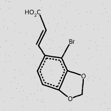 O=C(O)C=Cc1ccc2c(c1Br)OCO2